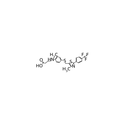 Cc1cc(SCc2sc(-c3ccc(C(F)(F)F)cc3)nc2C)ccc1NCCCC(=O)O